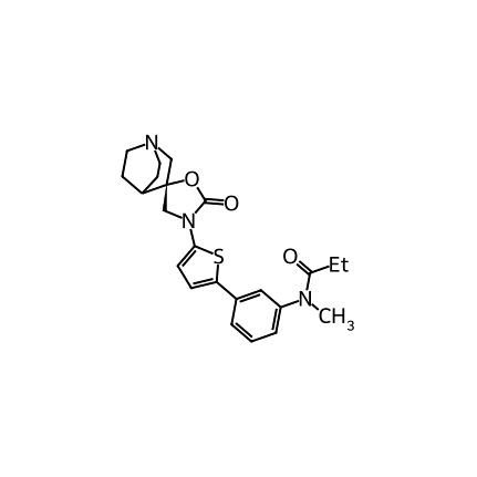 CCC(=O)N(C)c1cccc(-c2ccc(N3C[C@@]4(CN5CCC4CC5)OC3=O)s2)c1